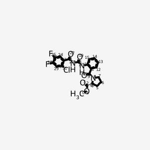 COC(=O)[C@H]1CCCN1C(=O)c1ccccc1NC(=O)NC(=O)c1cc(F)c(F)cc1Cl